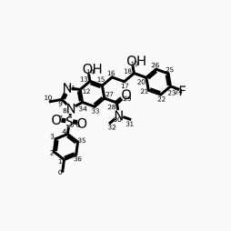 Cc1ccc(S(=O)(=O)n2c(C)nc3c(O)c(CCC(O)c4ccc(F)cc4)c(C(=O)N(C)C)cc32)cc1